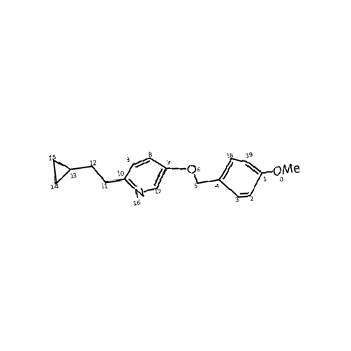 COc1ccc(COc2ccc(CCC3CC3)nc2)cc1